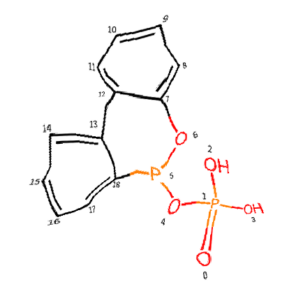 O=P(O)(O)OP1Oc2ccccc2-c2ccccc21